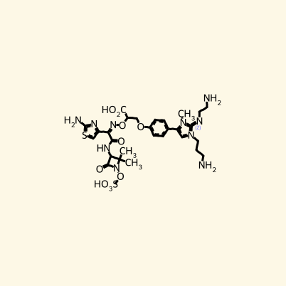 Cn1c(-c2ccc(OCC(ON=C(C(=O)NC3C(=O)N(OS(=O)(=O)O)C3(C)C)c3csc(N)n3)C(=O)O)cc2)cn(CCCN)/c1=N/CCN